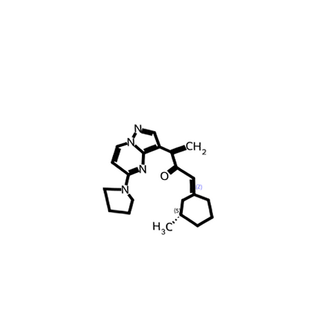 C=C(C(=O)/C=C1/CCC[C@H](C)C1)c1cnn2ccc(N3CCCC3)nc12